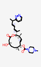 C/C(=C\C=C\C(C)c1cccnn1)[C@H]1OC(=O)C[C@H](O)CC[C@H](C)[C@@H](OC(=O)N2CCN(C)CC2)/C=C/[C@@H]1C